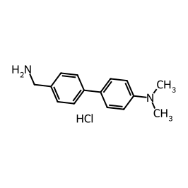 CN(C)c1ccc(-c2ccc(CN)cc2)cc1.Cl